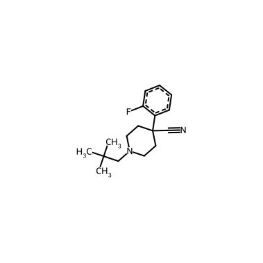 CC(C)(C)CN1CCC(C#N)(c2ccccc2F)CC1